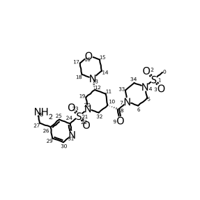 CS(=O)(=O)N1CCN(C(=O)[C@H]2C[C@@H](N3CCOCC3)CN(S(=O)(=O)c3cc(CN)ccn3)C2)CC1